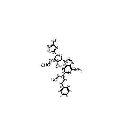 CCc1noc([C@H]2O[C@@H](n3cnc4c(N)nc(N(CO)CCc5ccccc5)nc43)[C@H](O)[C@@H]2OC=O)n1